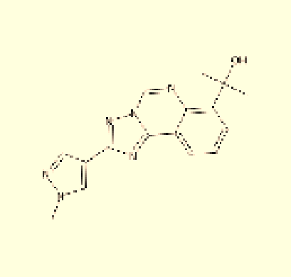 Cn1cc(-c2nc3c4cccc(C(C)(C)O)c4ncn3n2)cn1